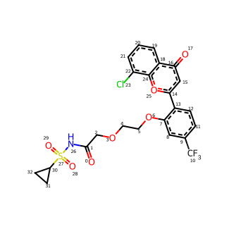 O=C(COCCOc1cc(C(F)(F)F)ccc1-c1cc(=O)c2cccc(Cl)c2o1)NS(=O)(=O)C1CC1